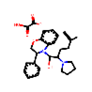 C=C(C)CCC(C(O)N1c2ccccc2OCC1c1ccccc1)N1CCCC1.O=C(O)C(=O)O